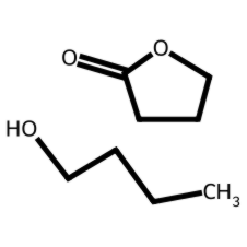 CCCCO.O=C1CCCO1